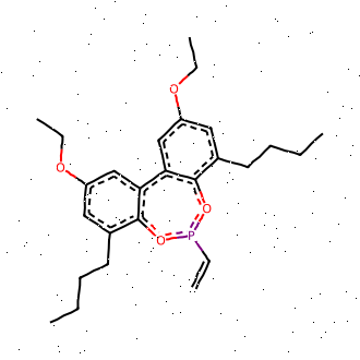 C=Cp1oc2c(CCCC)cc(OCC)cc2c2cc(OCC)cc(CCCC)c2o1